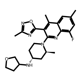 Cc1cc(F)c2nc(N3CC[C@@H](NC4CCOC4)C[C@@H]3C)c(-c3nc(C)no3)c(C)c2c1